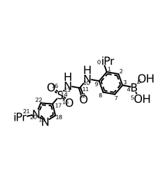 CC(C)c1cc(B(O)O)ccc1NC(=O)NS(=O)(=O)c1cnn(C(C)C)c1